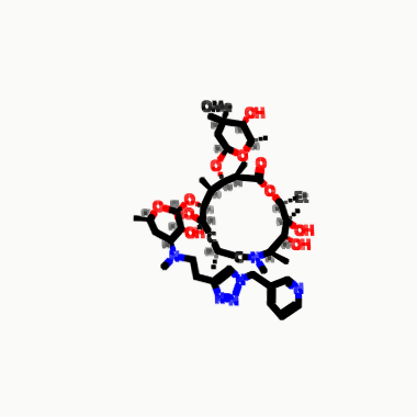 CC[C@H]1OC(=O)[C@H](C)[C@@H](O[C@H]2C[C@@](C)(OC)[C@@H](O)[C@H](C)O2)[C@H](C)[C@@H](O[C@@H]2O[C@H](C)C[C@H](N(C)CCc3cn(Cc4cccnc4)nn3)[C@H]2O)[C@](C)(O)C[C@@H](C)CN(C)[C@H](C)[C@@H](O)[C@]1(C)O